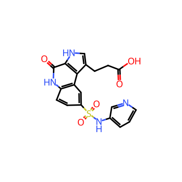 O=C(O)CCc1c[nH]c2c(=O)[nH]c3ccc(S(=O)(=O)Nc4cccnc4)cc3c12